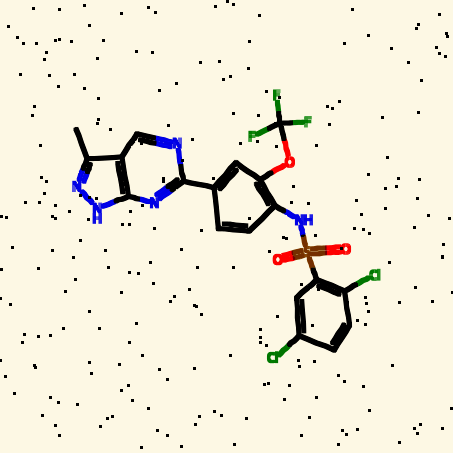 Cc1n[nH]c2nc(-c3ccc(NS(=O)(=O)c4cc(Cl)ccc4Cl)c(OC(F)(F)F)c3)ncc12